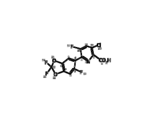 O=C(O)c1nc(-c2cc3c(cc2F)OC(F)(F)O3)c(F)cc1Cl